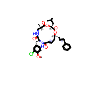 COc1ccc(C[C@H]2NC(=O)/C=C/C[C@@H](C/C=C/c3ccccc3)OC(=O)[C@H](CC(C)C)OC(=O)[C@H](C)CNC2=O)cc1Cl